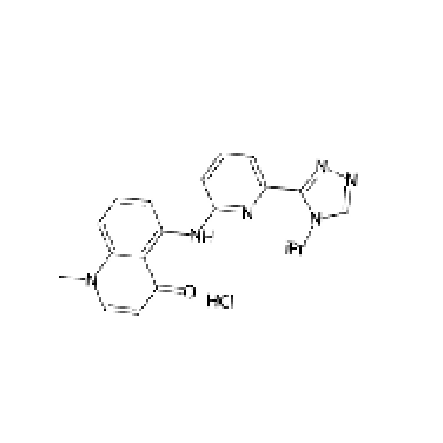 CC(C)n1cnnc1-c1cccc(Nc2cccc3c2c(=O)ccn3C)n1.Cl